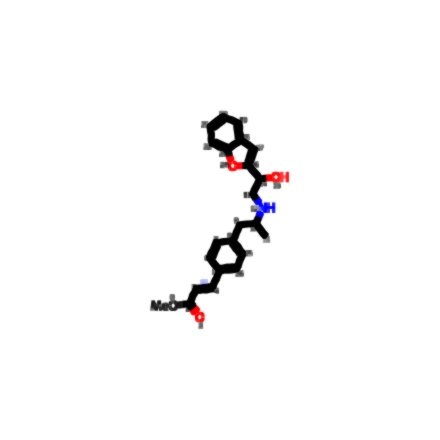 COC(=O)/C=C/c1ccc(CC(C)NCC(O)c2cc3ccccc3o2)cc1